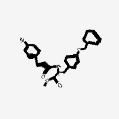 COC(=O)[C@H](Cc1ccc(OCc2ccccc2)cc1)NC(=O)C=Cc1ccc(Br)cc1